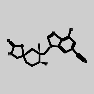 C[C@@]1(Cn2cnc3c(Cl)cc(C#N)cc32)C[C@@]2(CC[C@H]1F)CNC(=O)O2